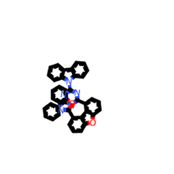 c1ccc(-c2nc(-c3cccc4oc5cccc(-c6nc7ccccc7o6)c5c34)nc(-n3c4ccccc4c4ccccc43)n2)cc1